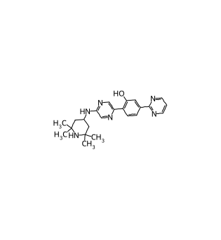 CC1(C)CC(Nc2cnc(-c3ccc(-c4ncccn4)cc3O)cn2)CC(C)(C)N1